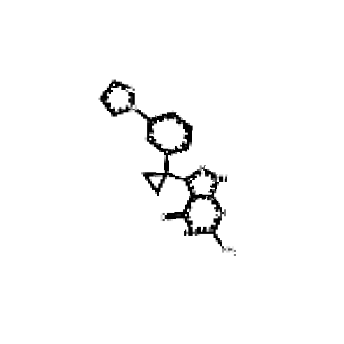 Nc1nc2[nH]nc(C3(c4cccc(-n5cccn5)c4)CC3)c2c(=O)[nH]1